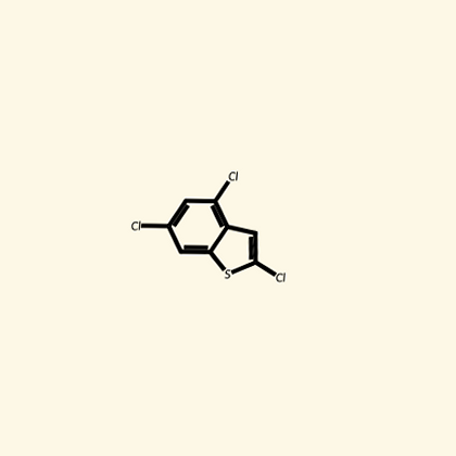 Clc1cc(Cl)c2cc(Cl)sc2c1